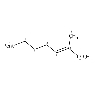 CCCC(C)CCCC=C(C)C(=O)O